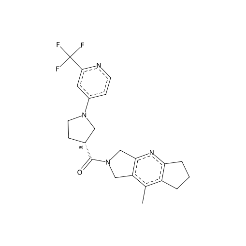 Cc1c2c(nc3c1CN(C(=O)[C@@H]1CCN(c4ccnc(C(F)(F)F)c4)C1)C3)CCC2